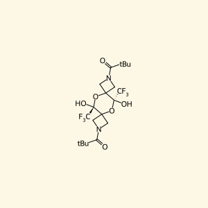 CC(C)(C)C(=O)N1CC2(C1)O[C@](O)(C(F)(F)F)C1(CN(C(=O)C(C)(C)C)C1)O[C@@]2(O)C(F)(F)F